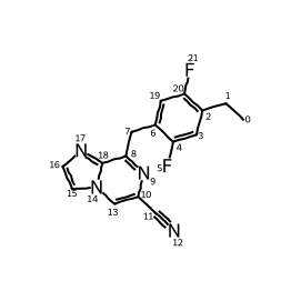 CCc1cc(F)c(Cc2nc(C#N)cn3ccnc23)cc1F